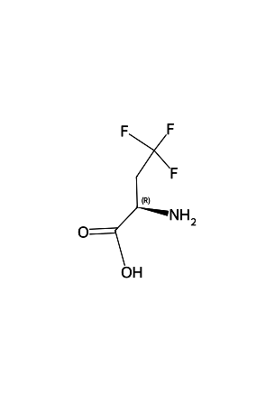 N[C@H](CC(F)(F)F)C(=O)O